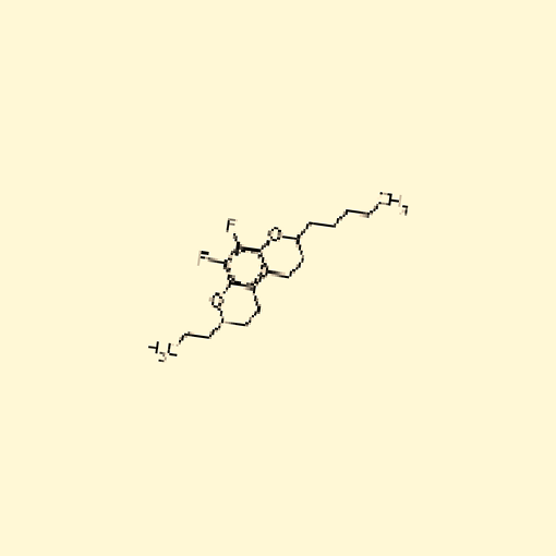 CCCCCC1CCc2c3c(c(F)c(F)c2O1)OC(CCC)CC3